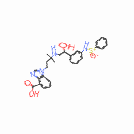 CC(C)(CCn1cnc2c(C(=O)O)cccc21)NCC(O)c1cccc(N[S+]([O-])c2ccccc2)c1